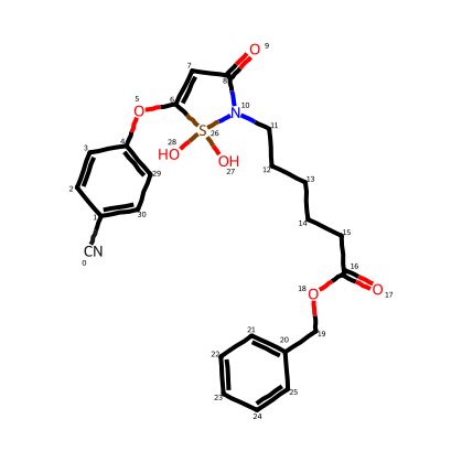 N#Cc1ccc(OC2=CC(=O)N(CCCCCC(=O)OCc3ccccc3)S2(O)O)cc1